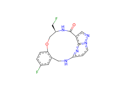 O=C1N[C@H](CF)COc2ccc(F)cc2CNc2ccn3ncc1c3n2